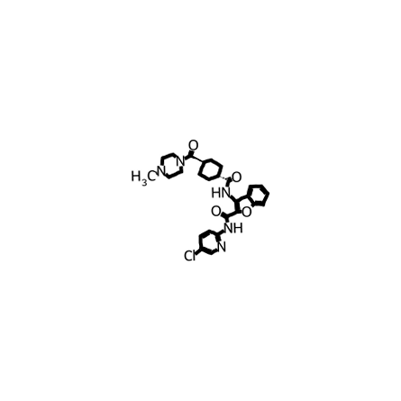 CN1CCN(C(=O)[C@H]2CC[C@H](C(=O)Nc3c(C(=O)Nc4ccc(Cl)cn4)oc4ccccc34)CC2)CC1